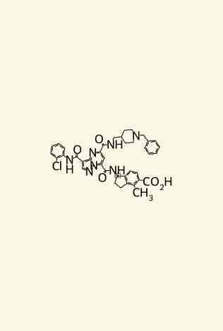 Cc1c(C(=O)O)ccc2c1CC[C@@H]2NC(=O)c1cc(C(=O)NCC2CCN(Cc3ccccc3)CC2)nc2c(C(=O)Nc3ccccc3Cl)cnn12